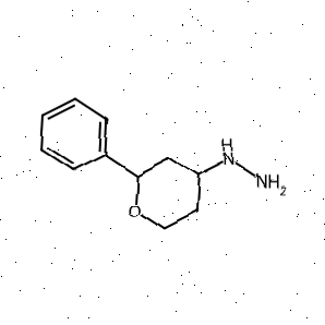 NNC1CCOC(c2ccccc2)C1